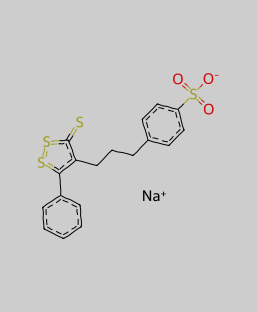 O=S(=O)([O-])c1ccc(CCCc2c(-c3ccccc3)ssc2=S)cc1.[Na+]